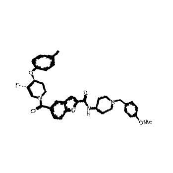 COc1ccc(CN2CCC(NC(=O)c3cc4cc(C(=O)N5CC[C@H](Oc6ccc(C)cc6)[C@@H](F)C5)ccc4o3)CC2)cc1